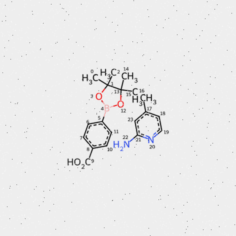 CC1(C)OB(c2ccc(C(=O)O)cc2)OC1(C)C.Cc1ccnc(N)c1